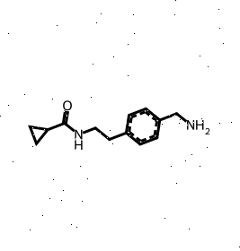 NCc1ccc(CCNC(=O)C2CC2)cc1